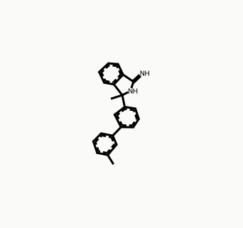 Cc1cccc(-c2cccc(C3(C)NC(=N)c4ccccc43)c2)c1